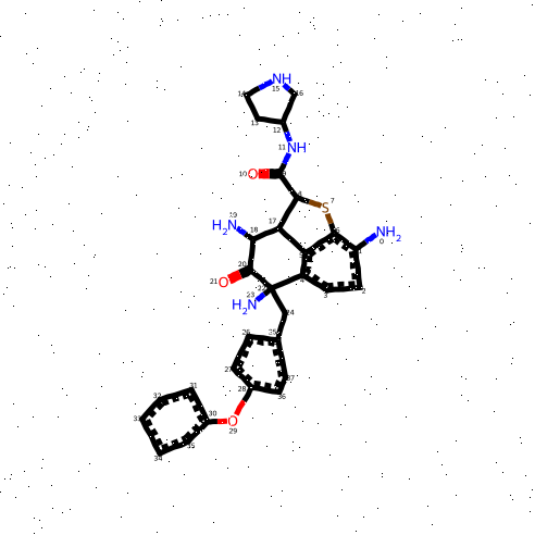 Nc1ccc2c3c1SC(C(=O)NC1CCNC1)C3C(N)C(=O)C2(N)Cc1ccc(Oc2ccccc2)cc1